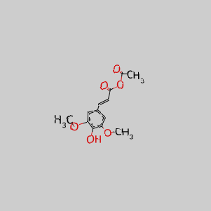 COc1cc(C=CC(=O)OC(C)=O)cc(OC)c1O